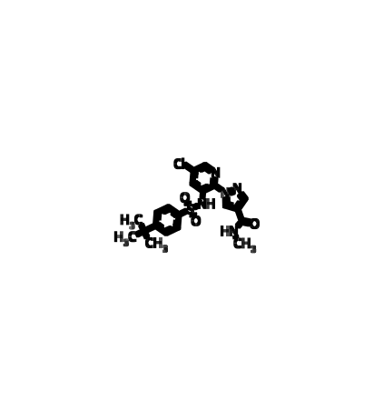 CNC(=O)c1cnn(-c2ncc(Cl)cc2NS(=O)(=O)c2ccc(C(C)(C)C)cc2)c1